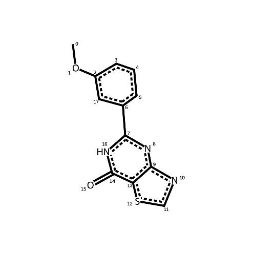 COc1cccc(-c2nc3ncsc3c(=O)[nH]2)c1